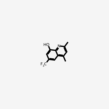 Cc1cc(C)c2cc(C(F)(F)F)cc(O)c2n1